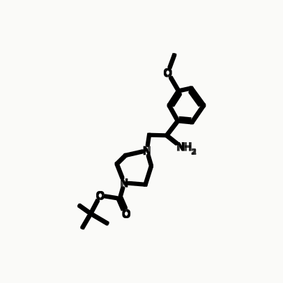 COc1cccc(C(N)CN2CCN(C(=O)OC(C)(C)C)CC2)c1